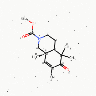 CC(C)(C)OC(=O)N1CCC2C(C)(C)C(=O)C(C#N)=C[C@]2(C)C1